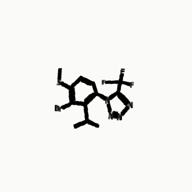 CSc1ccc(-n2nnnc2C(F)(F)F)c(C(C)C)c1Br